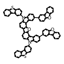 c1ccc2c(c1)oc1ccc(-c3ccc4c(c3)c3c5oc6c(ccc7c6c6cc(-c8ccc9oc%10ccccc%10c9c8)ccc6n7-c6ccc7sc8ccccc8c7c6)c5ccc3n4-c3ccc4sc5ccccc5c4c3)cc12